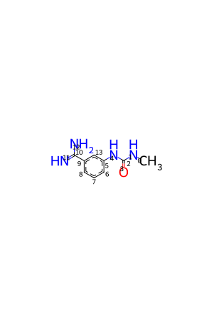 CNC(=O)Nc1cccc(C(=N)N)c1